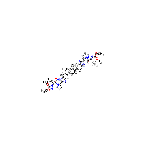 COC(=O)NC(C(=O)N1CCCC1c1nc2cc(-c3ccc(-c4ccc5[nH]c(C6CCCN6C(=O)[C@@H](NC(=O)OC)C(C)C)nc5c4)c(C)c3C)ccc2[nH]1)C(C)C